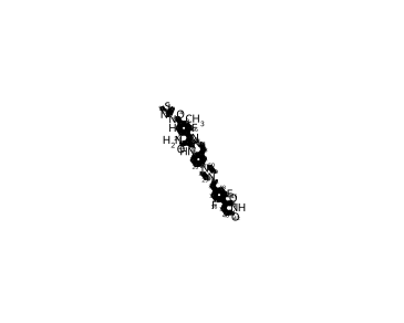 Cc1c(C(=O)Nc2cscn2)ccc(-c2nn3c(c2C(N)=O)Nc2ccc(N4CCN(CCc5cc(F)c(C6CCC(=O)NC6=O)c(F)c5)CC4)cc2CC3)c1F